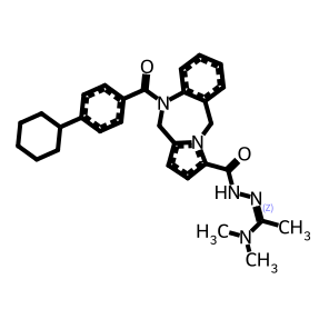 C/C(=N/NC(=O)c1ccc2n1Cc1ccccc1N(C(=O)c1ccc(C3CCCCC3)cc1)C2)N(C)C